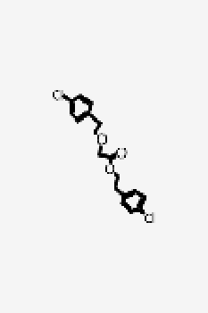 O=C(COCCc1ccc(Cl)cc1)OCCc1ccc(Cl)cc1